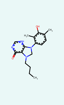 CCCCN1CN(c2ccc(C)c(O)c2C)c2[nH]cnc(=O)c21